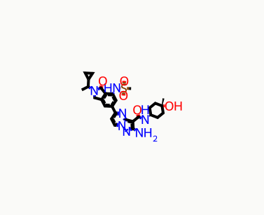 CC(C1CC1)N1Cc2cc(-c3ccn4nc(N)c(C(=O)N[C@H]5CC[C@@](C)(O)CC5)c4n3)cc(NS(C)(=O)=O)c2C1=O